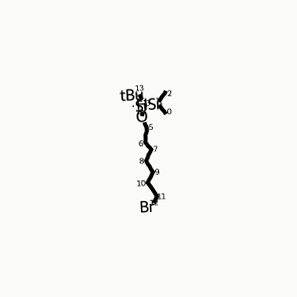 C[SiH](C)[Si](OCCCCCCCBr)C(C)(C)C